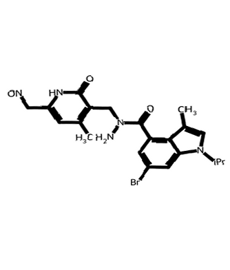 Cc1cc(CN=O)[nH]c(=O)c1CN(N)C(=O)c1cc(Br)cc2c1c(C)cn2C(C)C